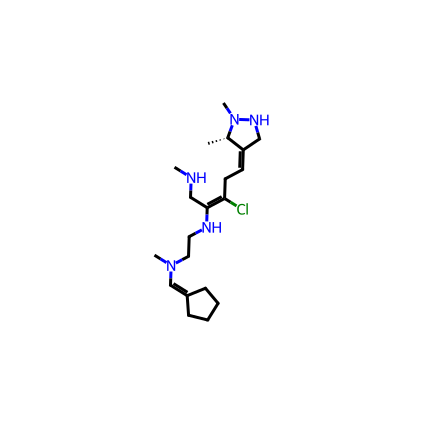 CNC/C(NCCN(C)C=C1CCCC1)=C(/Cl)C/C=C1/CNN(C)[C@H]1C